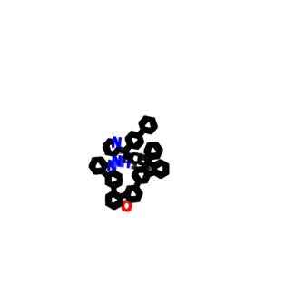 C=C/C(=C1/N=CC=CC1Nn1c2ccccc2c2cc(-c3cccc4oc5ccc(-c6ccc7c(c6)-c6ccccc6C7(C)c6ccccc6)cc5c34)ccc21)c1ccc(-c2ccccc2)cc1